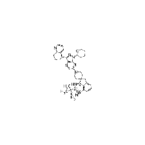 CC(C)(C)[S+]([O-])N[C@@H]1c2c(C#N)cccc2CC12CCN(c1cnc3c(N4CCCc5ncccc54)nn(C4CCCCO4)c3n1)CC2